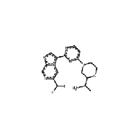 CC(N)C1CN(c2ccnc(-c3cnc4cnc(C(F)F)cn34)n2)CCO1